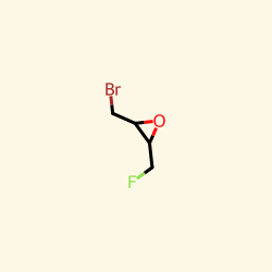 FCC1OC1CBr